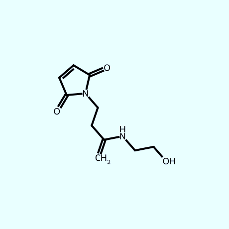 C=C(CCN1C(=O)C=CC1=O)NCCO